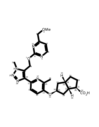 COCc1ccnc(OCc2c(-c3ccc(O[C@H]4C[C@@H]5CC[C@@H](C(=O)O)[C@@H]5C4)c(C)n3)nnn2C)n1